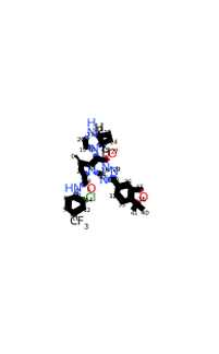 C[C@@H]1CC(C(=O)Nc2ccc(C(F)(F)F)cc2Cl)n2c1c(N1CCN[C@H]3CC[C@@H]31)c(=O)n1nc(-c3ccc4c(c3)COC4(C)C)nc21